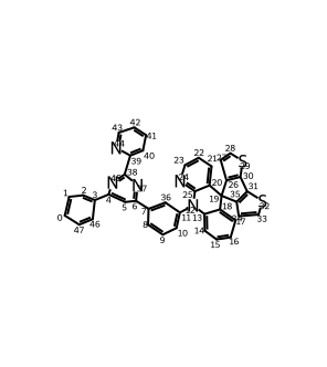 c1ccc(-c2cc(-c3cccc(N4c5ccccc5C5(c6cccnc64)c4ccsc4-c4sccc45)c3)nc(-c3ccccn3)n2)cc1